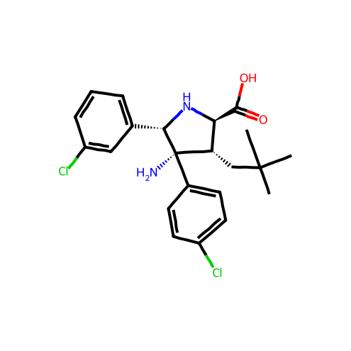 CC(C)(C)C[C@H]1[C@H](C(=O)O)N[C@@H](c2cccc(Cl)c2)[C@]1(N)c1ccc(Cl)cc1